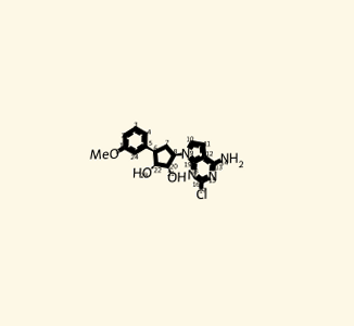 COc1cccc([C@H]2C[C@@H](n3ccc4c(N)nc(Cl)nc43)[C@H](O)[C@@H]2O)c1